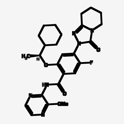 COc1nccnc1NC(=O)c1cc(F)c(-n2nc3n(c2=O)CCCC3)cc1O[C@@H](C)C1CCCCC1